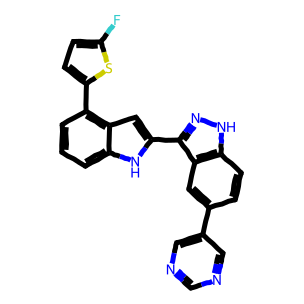 Fc1ccc(-c2cccc3[nH]c(-c4n[nH]c5ccc(-c6cncnc6)cc45)cc23)s1